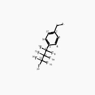 [CH2]Cc1ccc(C(F)(F)C(F)(F)C(F)(F)F)cc1